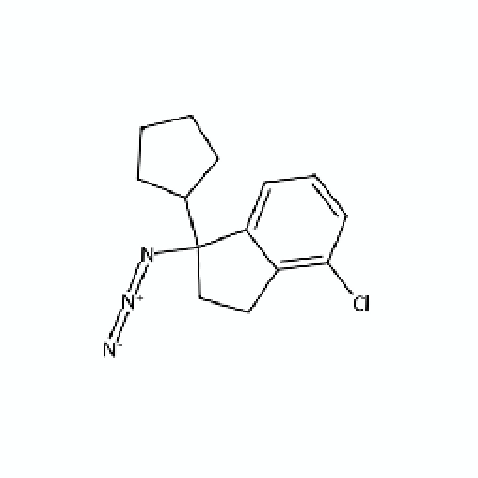 [N-]=[N+]=NC1(C2CCCC2)CCc2c(Cl)cccc21